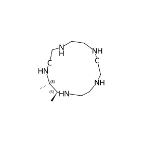 C[C@@H]1NCCNCCNCCNCCN[C@H]1C